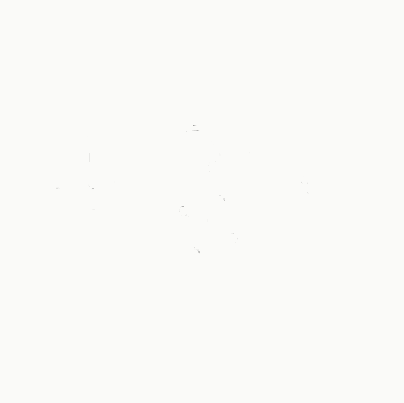 CC[Si](CC)(CC)OC(CI)c1ccc(OCc2ccccc2)c(NS(=O)(=O)N(C)C)c1